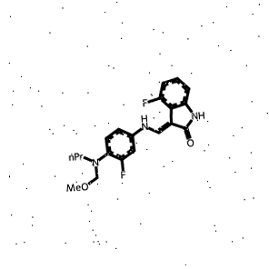 CCCN(COC)c1ccc(N/C=C2/C(=O)Nc3cccc(F)c32)cc1F